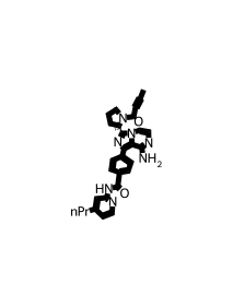 CC#CC(=O)N1CCC[C@H]1c1nc(-c2ccc(C(=O)Nc3cc(CCC)ccn3)cc2)c2c(N)nccn12